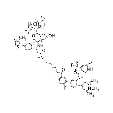 Cc1ncsc1-c1ccc(C(CC(=O)NCCCCCNC(=O)c2ccc(F)c(-c3ccc(N4C[C@@H](C)N(C)[C@@H](C)C4)c(NC(=O)c4c[nH]c(=O)cc4C(F)(F)F)c3)c2)NC(=O)[C@@H]2C[C@@H](O)CN2C(=O)C(NC(=O)C2(F)CC2)C(C)(C)C)cc1